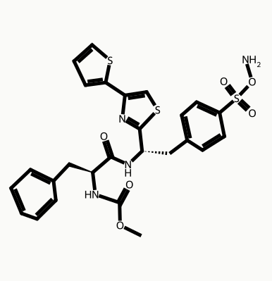 COC(=O)N[C@@H](Cc1ccccc1)C(=O)N[C@@H](Cc1ccc(S(=O)(=O)ON)cc1)c1nc(-c2cccs2)cs1